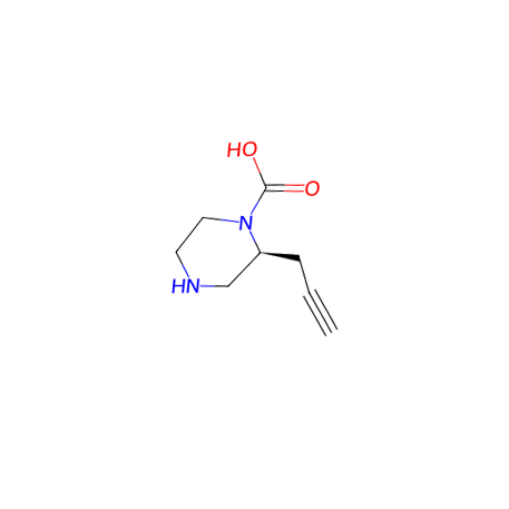 C#CC[C@H]1CNCCN1C(=O)O